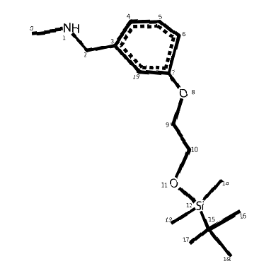 CNCc1cccc(OCCO[Si](C)(C)C(C)(C)C)c1